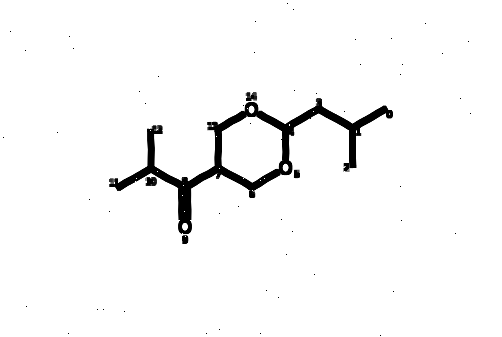 CC(C)CC1OCC(C(=O)C(C)C)CO1